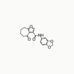 O=C(Nc1ccc2c(c1)OCO2)c1coc2c1C(=O)CCCC2